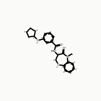 CN1C(=O)C(NC(=O)c2cccc(OC3CCCC3)c2)COc2ccccc21